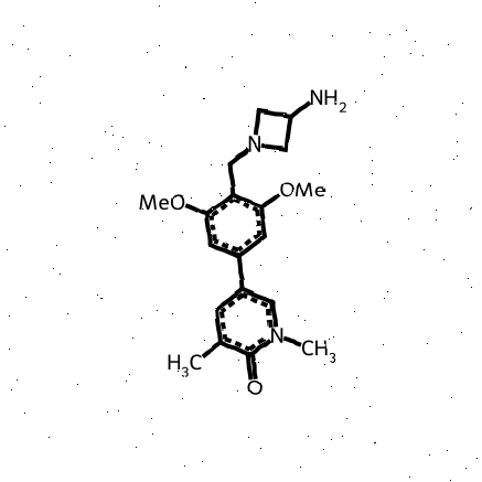 COc1cc(-c2cc(C)c(=O)n(C)c2)cc(OC)c1CN1CC(N)C1